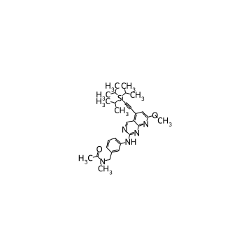 COc1cc(C#C[Si](C(C)C)(C(C)C)C(C)C)c2cnc(Nc3cccc(CN(C)C(C)=O)c3)nc2n1